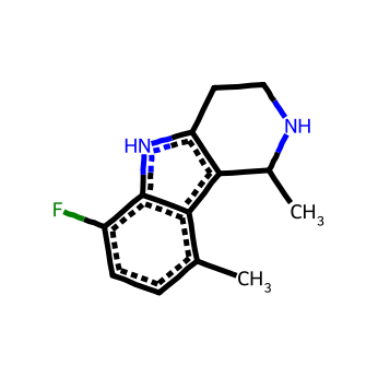 Cc1ccc(F)c2[nH]c3c(c12)C(C)NCC3